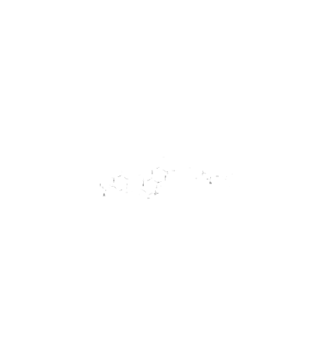 COc1cc2c(Oc3ccc([N+](=O)[O-])cc3F)ccnc2cc1OCCCNC(=O)OC(C)(C)C